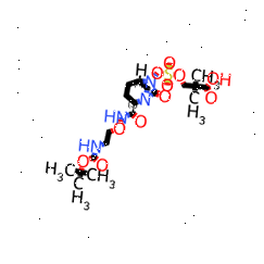 CC(C)(C)OC(=O)NCCONC(=O)[C@@H]1CC[C@@H]2CN1C(=O)N2OS(=O)(=O)OCC(C)(C)C(=O)O